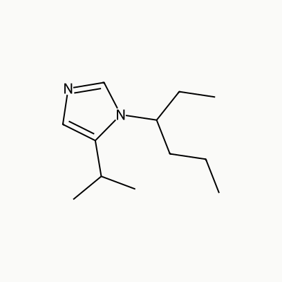 CCCC(CC)n1cncc1C(C)C